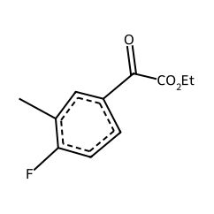 CCOC(=O)C(=O)c1ccc(F)c(C)c1